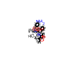 [2H]c1oc2oc([2H])c(N(C(=O)O)[C@@H](Cc3ccccc3)[C@H](O)CN(CC(C)C)S(=O)(=O)c3ccc(N)cc3)c2c1[2H]